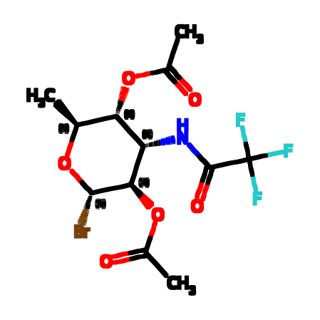 CC(=O)O[C@@H]1[C@H](NC(=O)C(F)(F)F)[C@@H](OC(C)=O)[C@H](Br)O[C@H]1C